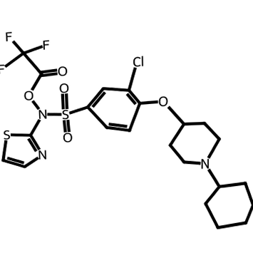 O=C(ON(c1nccs1)S(=O)(=O)c1ccc(OC2CCN(C3CCCCC3)CC2)c(Cl)c1)C(F)(F)F